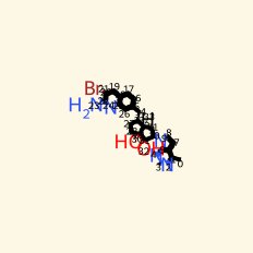 Cc1ncnc2c1ccn2[C@@H]1C[C@@H]2[C@H](Cc3ccc4cc(Br)c(N)nc4c3)CC[C@]2(O)[C@H]1O